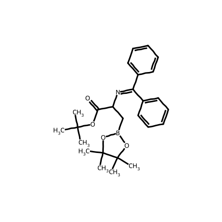 CC(C)(C)OC(=O)C(CB1OC(C)(C)C(C)(C)O1)N=C(c1ccccc1)c1ccccc1